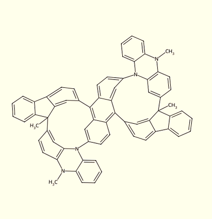 CN1c2ccccc2N2c3ccc4c5c6cc(ccc6c(c4c3)-c3ccc4c(c3)C(C)(c3ccc1c2c3)c1ccccc1-4)N1c2ccccc2N(C)c2ccc(cc21)C1(C)c2ccccc2-c2ccc-5cc21